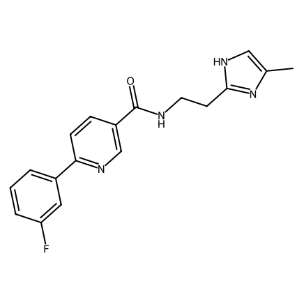 Cc1c[nH]c(CCNC(=O)c2ccc(-c3cccc(F)c3)nc2)n1